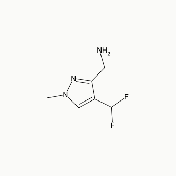 Cn1cc(C(F)F)c(CN)n1